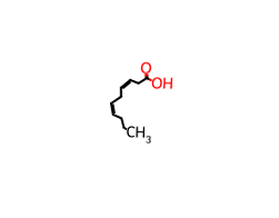 CCC/C=C\C/C=C\CC(=O)O